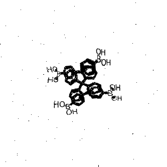 OB(O)c1ccc(-c2ccccc2C(c2ccccc2-c2ccc(B(O)O)cc2)(c2ccccc2-c2ccc(B(O)O)cc2)c2ccccc2-c2ccc(B(O)O)cc2)cc1